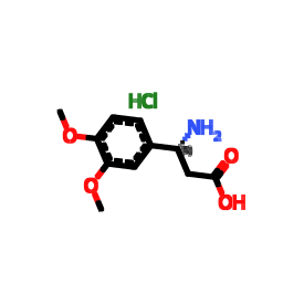 COc1ccc([C@H](N)CC(=O)O)cc1OC.Cl